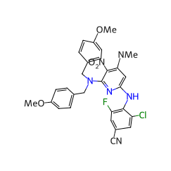 CNc1cc(Nc2c(F)cc(C#N)cc2Cl)nc(N(Cc2ccc(OC)cc2)Cc2ccc(OC)cc2)c1[N+](=O)[O-]